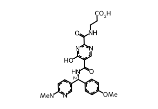 CNc1ccc([C@@H](NC(=O)c2cnc(C(=O)NCCC(=O)O)nc2O)c2ccc(OC)cc2)cn1